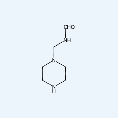 O=[C]NCN1CCNCC1